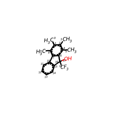 Cc1c(C)c(C)c2c(c1C)-c1ccccc1C2(O)C(F)(F)F